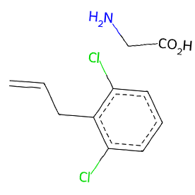 C=CCc1c(Cl)cccc1Cl.NCC(=O)O